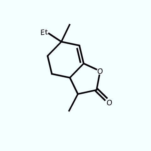 CCC1(C)C=C2OC(=O)C(C)C2CC1